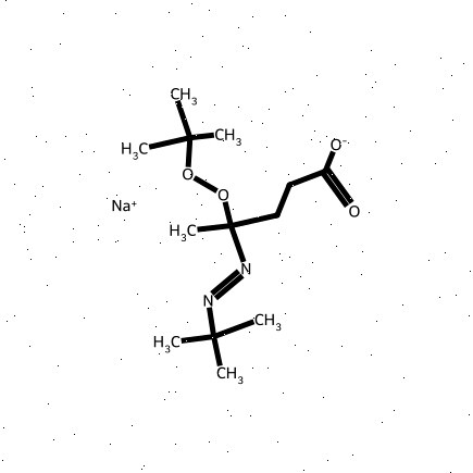 CC(C)(C)N=NC(C)(CCC(=O)[O-])OOC(C)(C)C.[Na+]